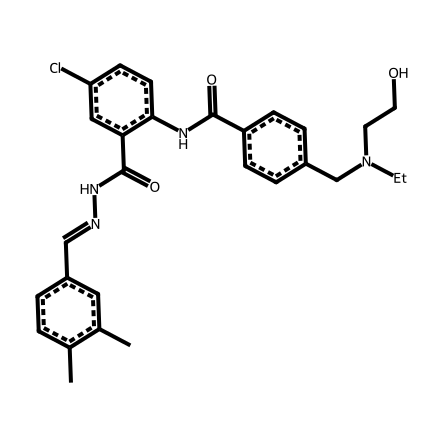 CCN(CCO)Cc1ccc(C(=O)Nc2ccc(Cl)cc2C(=O)NN=Cc2ccc(C)c(C)c2)cc1